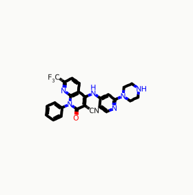 N#Cc1c(Nc2ccnc(N3CCNCC3)c2)c2ccc(C(F)(F)F)nc2n(-c2ccccc2)c1=O